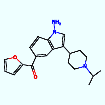 CC(C)N1CCC(c2cn(N)c3ccc(C(=O)c4ccco4)cc23)CC1